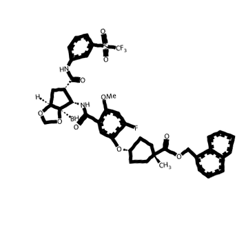 B[C@]12OCO[C@H]1C[C@H](C(=O)Nc1cccc(S(=O)(=O)C(F)(F)F)c1)[C@@H]2NC(=O)c1cc(O[C@H]2CC[C@@](C)(C(=O)OCc3cccc4ccccc34)CC2)c(F)cc1OC